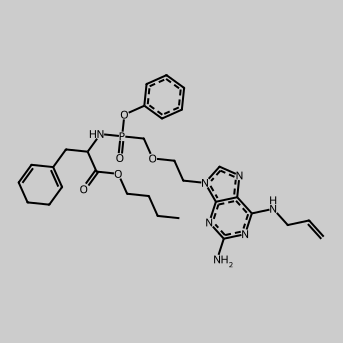 C=CCNc1nc(N)nc2c1ncn2CCOCP(=O)(NC(CC1=CCCC=C1)C(=O)OCCCC)Oc1ccccc1